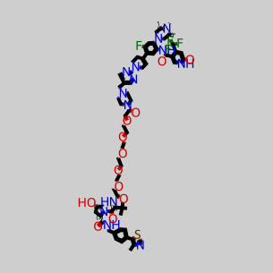 Cc1ncsc1-c1ccc(CNC(=O)[C@@H]2C[C@@H](O)CN2C(=O)[C@@H](NC(=O)COCCOCCOCCOCCOCC(=O)N2CCN(Cc3cnc(N4CC=C(c5cc(NC(=O)c6c[nH]c(=O)cc6C(F)(F)F)c(N6C[C@@H](C)N(C)[C@@H](C)C6)cc5F)CC4)nc3)CC2)C(C)(C)C)cc1